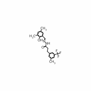 Cc1cc(CCC(=O)N/N=C/c2cc(C)cc(C)c2O)cc(C(F)(F)F)c1